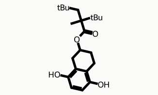 CC(C)(C)CC(C)(C(=O)OC1CCc2c(O)ccc(O)c2C1)C(C)(C)C